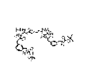 CC(C)(C)OC(=O)NCc1cccc(CC(=O)NC(=N)SC(=N)CCCCC(N)SC(=N)NC(=O)Cc2cccc(CNC(=O)OC(C)(C)C)c2)c1